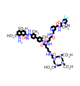 Cc1cc(-c2ccc(NC(=O)C(CCCCNC(=O)CN3CCN(CC(=O)O)CCN(CC(=O)O)CCN(CC(=O)O)CC3)NC(=O)CCC(=O)NCc3cc(C(=O)N[C@@H](C)C(=O)N4CC(F)(F)C[C@H]4C#N)ccn3)c(C)c2)ccc1NNc1ccc2c(S(=O)(=O)O)cc(S(=O)(=O)O)c(N)c2c1O